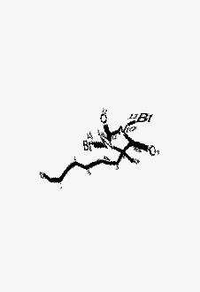 CCCCCCC1(C)C(=O)N(Br)C(=O)N1Br